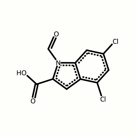 O=Cn1c(C(=O)O)cc2c(Cl)cc(Cl)cc21